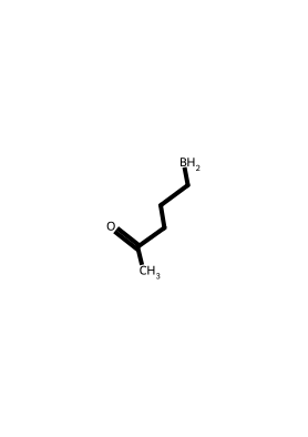 BCCCC(C)=O